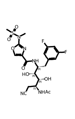 CC(=O)N[C@@H](CC#N)[C@@H](O)[C@H](O)[C@@H](Cc1cc(F)cc(F)c1)NC(=O)c1coc(N(C)S(C)(=O)=O)n1